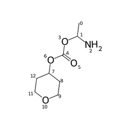 CC(N)OC(=O)OC1CCOCC1